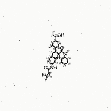 CC[C@H](O)c1cc(C)c(-c2cc3cnc(NC(=O)[C@H]4CC4(F)F)cc3nc2C(=O)N(C)c2ccccc2)cn1